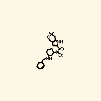 CCN(C(=O)c1cc2c([nH]1)CC(C)(C)OC2)C1CCCC(NCc2ccccc2)C1